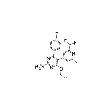 [CH2]COc1nc(N)nc(-c2ccc(F)cc2)c1-c1cc(C)nc(C(F)F)c1